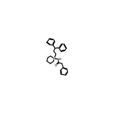 O=C(Cc1ccccc1)N[N+]1(CCC(c2ccccc2)c2ccccc2)CCCCC1